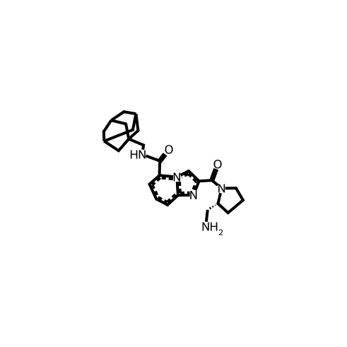 NC[C@H]1CCCN1C(=O)c1cn2c(C(=O)NCC34CC5CC(CC(C5)C3)C4)cccc2n1